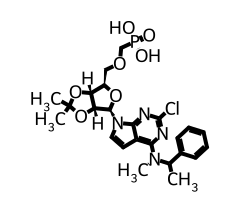 CC(c1ccccc1)N(C)c1nc(Cl)nc2c1ccn2[C@@H]1O[C@H](COCP(=O)(O)O)[C@H]2OC(C)(C)O[C@H]21